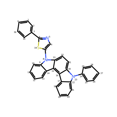 c1ccc(-c2ncc(-n3c4ccccc4c4c5c6ccccc6n(-c6ccccc6)c5ccc43)s2)cc1